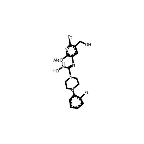 CCc1ccccc1N1CCN(C(=Nc2cc(CO)c(CC)nc2OC)NO)CC1